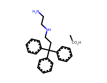 CC(=O)O.NCCNCCC(c1ccccc1)(c1ccccc1)c1ccccc1